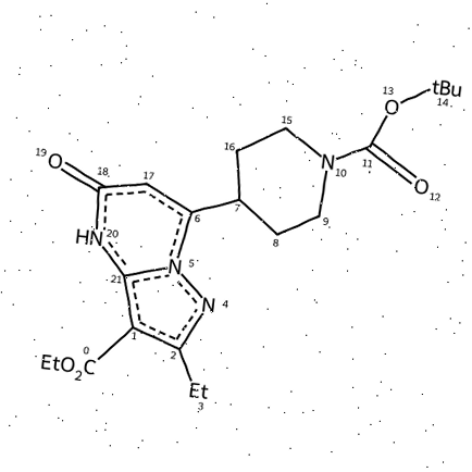 CCOC(=O)c1c(CC)nn2c(C3CCN(C(=O)OC(C)(C)C)CC3)cc(=O)[nH]c12